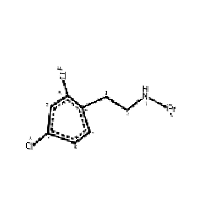 CC(C)NCCc1ccc(Cl)cc1Cl